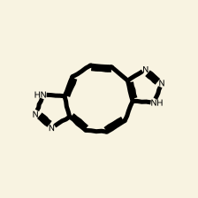 c1cc2nn[nH]c2cccc2nn[nH]c2c1